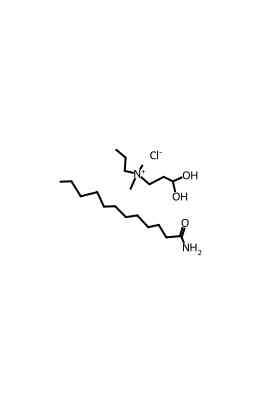 CCCCCCCCCCCC(N)=O.CCC[N+](C)(C)CCC(O)O.[Cl-]